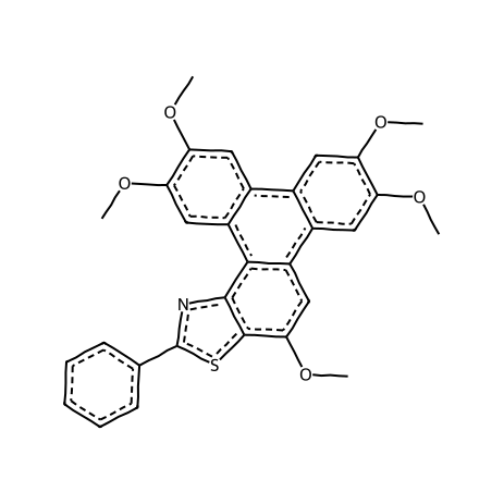 COc1cc2c3cc(OC)c(OC)cc3c3c(cc(OC)c4sc(-c5ccccc5)nc43)c2cc1OC